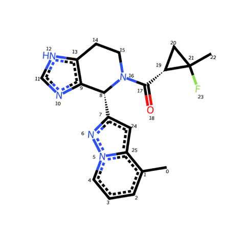 Cc1cccn2nc([C@@H]3c4nc[nH]c4CCN3C(=O)[C@@H]3CC3(C)F)cc12